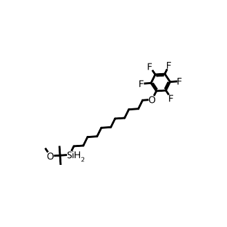 COC(C)(C)[SiH2]CCCCCCCCCCCOc1c(F)c(F)c(F)c(F)c1F